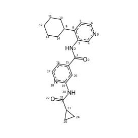 O=C(Nc1cnccc1C1CCCCC1)c1ccnc(NC(=O)C2CC2)c1